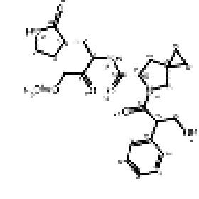 O=C(COC(F)(F)F)C(C[C@@H]1CCNC1=O)NC(=O)[C@@H]1CC2(CC2)CN1C(=O)C(CO)c1ccccc1